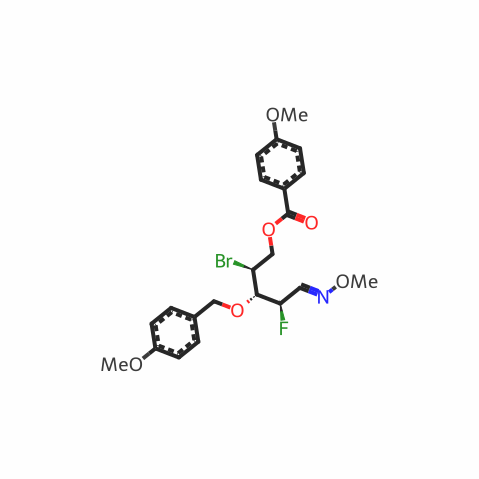 CON=C[C@@H](F)[C@H](OCc1ccc(OC)cc1)[C@@H](Br)COC(=O)c1ccc(OC)cc1